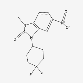 Cn1c(=O)n(C2CCC(F)(F)CC2)c2cc([N+](=O)[O-])ccc21